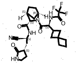 N#C[C@H](C[C@@H]1CCNC1=O)NC(=O)[C@@H]1[C@H]2CC[C@H](C2)N1C(=O)[C@@H](NC(=O)C(F)(F)F)C1CC2(CCC2)C1